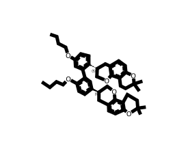 CCCCOc1ccc([C@H]2COc3c(ccc4c3CCC(C)(C)O4)C2)c(-c2cc([C@H]3COc4c(ccc5c4CCC(C)(C)O5)C3)[c]cc2OCCCC)c1